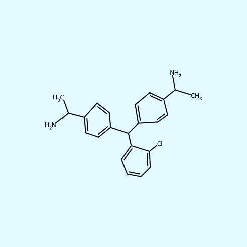 CC(N)c1ccc(C(c2ccc(C(C)N)cc2)c2ccccc2Cl)cc1